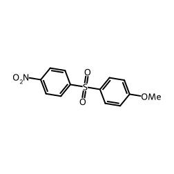 COc1ccc(S(=O)(=O)c2ccc([N+](=O)[O-])cc2)cc1